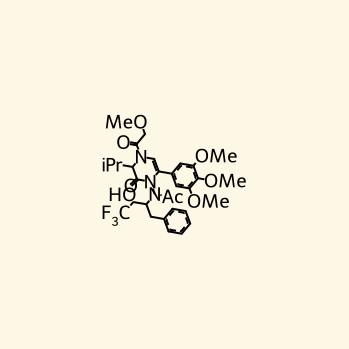 COCC(=O)N1C=C(c2cc(OC)c(OC)c(OC)c2)N(N(C(C)=O)C(Cc2ccccc2)C(O)C(F)(F)F)C(=O)C1C(C)C